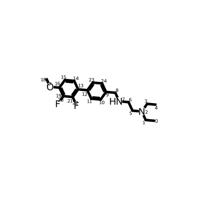 CCN(CC)CCNCc1ccc(-c2ccc(OC)c(F)c2F)cc1